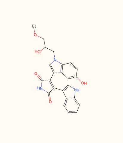 CCOCC(O)Cn1cc(C2=C(c3c[nH]c4ccccc34)C(=O)NC2=O)c2cc(O)ccc21